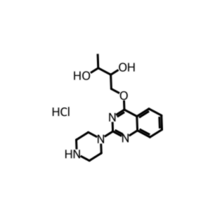 CC(O)C(O)COc1nc(N2CCNCC2)nc2ccccc12.Cl